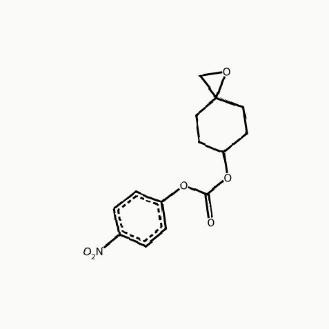 O=C(Oc1ccc([N+](=O)[O-])cc1)OC1CCC2(CC1)CO2